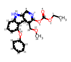 CCOC(=O)Oc1ncc2[nH]c3cccc(Oc4ccccc4)c3c2c1COC